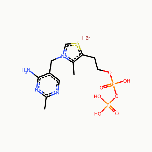 Br.Cc1ncc(C[n+]2csc(CCOP(=O)(O)OP(=O)(O)O)c2C)c(N)n1